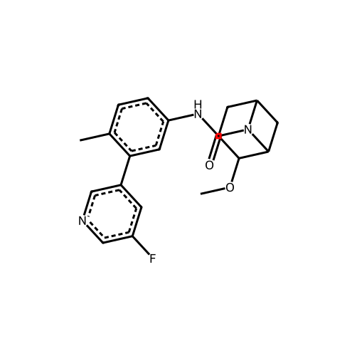 COC1CCC2CC1N2C(=O)Nc1ccc(C)c(-c2cncc(F)c2)c1